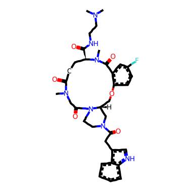 CN(C)CCNC(=O)[C@@H]1CCC(=O)N(C)CC(=O)N2CCN(C(=O)Cc3c[nH]c4ccccc34)C[C@H]2COc2ccc(F)cc2C(=O)N1C